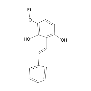 CCOc1ccc(O)c(C=Cc2ccccc2)c1O